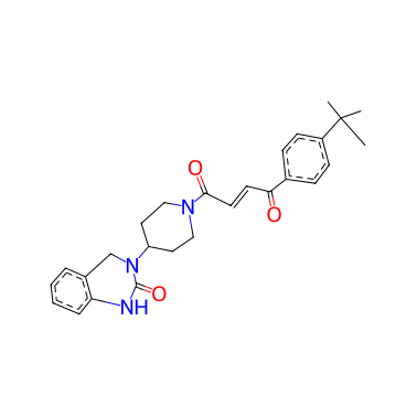 CC(C)(C)c1ccc(C(=O)C=CC(=O)N2CCC(N3Cc4ccccc4NC3=O)CC2)cc1